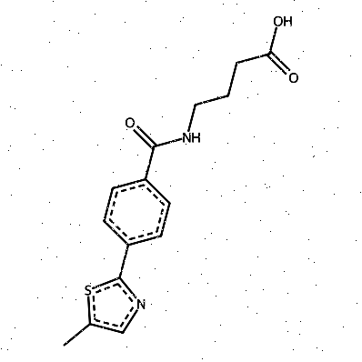 Cc1cnc(-c2ccc(C(=O)NCCCC(=O)O)cc2)s1